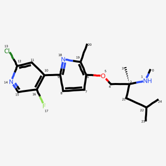 CN[C@](C)(COc1ccc(-c2cc(Cl)ncc2F)nc1C)CC(C)C